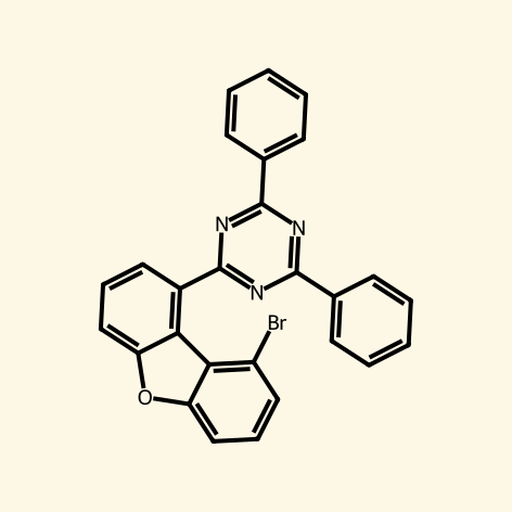 Brc1cccc2oc3cccc(-c4nc(-c5ccccc5)nc(-c5ccccc5)n4)c3c12